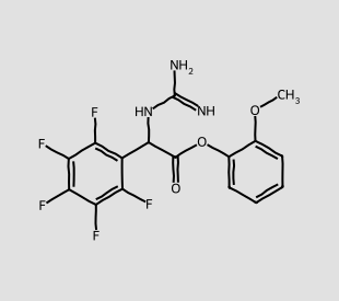 COc1ccccc1OC(=O)C(NC(=N)N)c1c(F)c(F)c(F)c(F)c1F